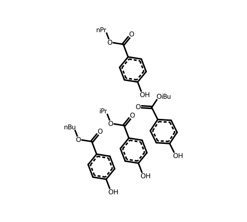 CC(C)COC(=O)c1ccc(O)cc1.CC(C)OC(=O)c1ccc(O)cc1.CCCCOC(=O)c1ccc(O)cc1.CCCOC(=O)c1ccc(O)cc1